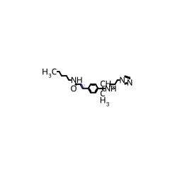 CCCCCNC(=O)/C=C/c1ccc(C(C)(C)NCCCn2ccnc2)cc1